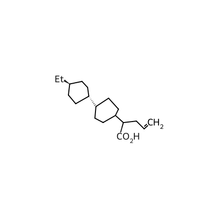 C=CCC(C(=O)O)C1CCC([C@H]2CC[C@H](CC)CC2)CC1